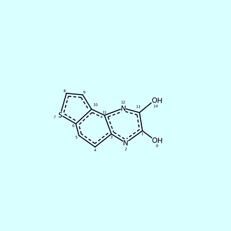 Oc1nc2ccc3sccc3c2nc1O